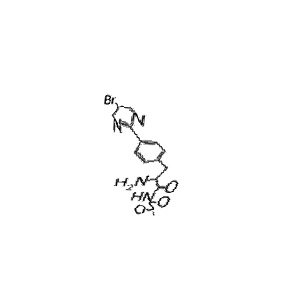 CS(=O)(=O)NC(=O)C(N)Cc1ccc(-c2ncc(Br)cn2)cc1